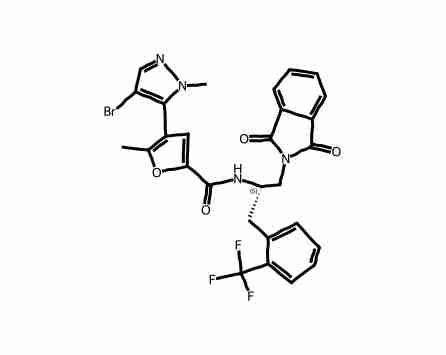 Cc1oc(C(=O)N[C@@H](Cc2ccccc2C(F)(F)F)CN2C(=O)c3ccccc3C2=O)cc1-c1c(Br)cnn1C